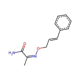 CC(=NOCC=Cc1ccccc1)C(N)=O